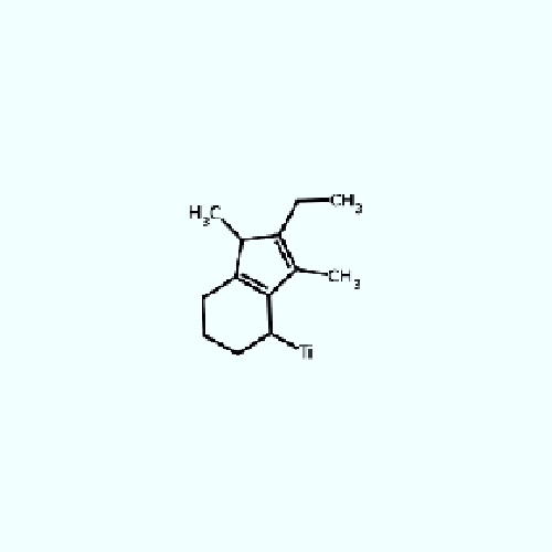 CCC1=C(C)C2=C(CCC[CH]2[Ti])C1C